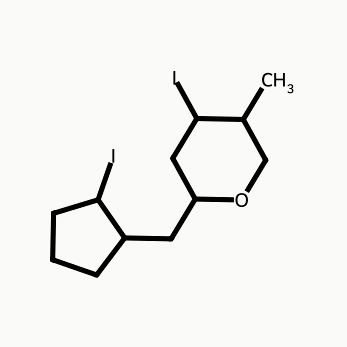 CC1COC(CC2CCCC2I)CC1I